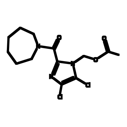 CC(=O)OCn1c(C(=O)N2CCCCCC2)nc(Cl)c1Cl